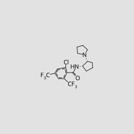 O=C(N[C@H]1CCC[C@H]1N1CCCC1)c1c(Cl)cc(C(F)(F)F)cc1C(F)(F)F